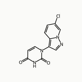 O=c1ccn(-c2cnn3cc(Cl)ccc23)c(=O)[nH]1